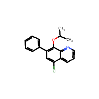 CC(C)Oc1c(-c2ccccc2)cc(Cl)c2cccnc12